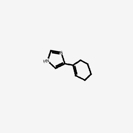 [C]1=C(c2c[nH]cn2)CCCC1